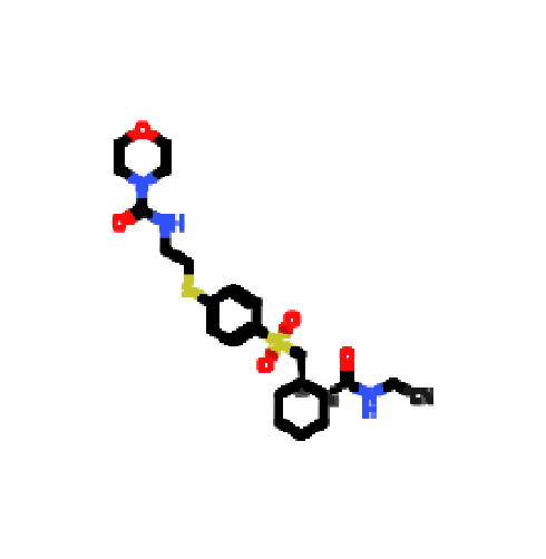 N#CCNC(=O)[C@@H]1CCCC[C@H]1CS(=O)(=O)c1ccc(SCCNC(=O)N2CCOCC2)cc1